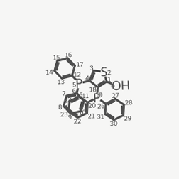 Oc1scc(P(c2ccccc2)c2ccccc2)c1P(c1ccccc1)c1ccccc1